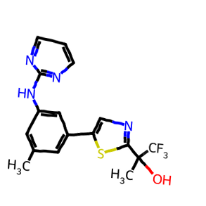 Cc1cc(Nc2ncccn2)cc(-c2cnc(C(C)(O)C(F)(F)F)s2)c1